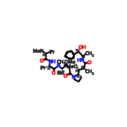 CC[C@H](C)C(C(CC(=O)N1CCC[C@H]1[C@H](OC)[C@@H](C)C(=O)N[C@H](C)[C@@H](O)c1ccccc1)OC)N(C)C(=O)[C@@H](NC(=O)[C@@H](NC)C(C)C)C(C)C